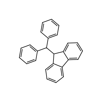 c1ccc([C](c2ccccc2)C2c3ccccc3-c3ccccc32)cc1